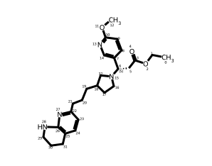 CCOC(=O)C[C@@H](c1ccc(OC)nc1)N1CCC(CCCc2ccc3c(n2)NCCC3)C1